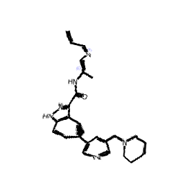 C=C/C=N\C=C(/C)NC(=O)c1n[nH]c2ccc(-c3cncc(CN4CCCCC4)c3)cc12